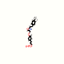 OCCCc1ccc(OCc2coc(C=Cc3ccc(C(F)(F)F)cc3)n2)cc1